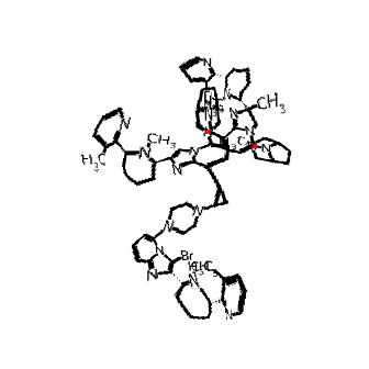 Cc1cccnc1[C@@H]1CCC[C@H](c2cn3c(N4CC5CCC(C4)N5CC4=CC=C(N5C6CCC5CN(C)C6)N5CC(C)([C@H]6CCC[C@@H](c7ncccc7C)N6C)N=C45)ccc(C4CC4N4CCN(c5cccc6nc([C@H]7CCC[C@@H](c8ncccc8C)N7C)c(Br)n56)CC4)c3n2)N1C